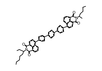 CCCCCC(CC)N1C(=O)c2cccc3c(-c4ccc(-c5ccc(-c6ccc(-c7ccc8c9c(cccc79)C(=O)N(C(C)CCCC)C8=O)cc6)cc5)cc4)ccc(c23)C1=O